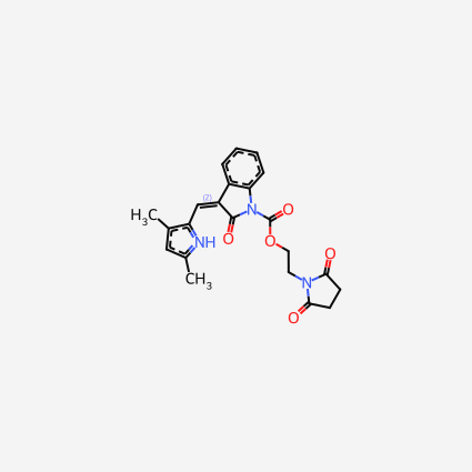 Cc1cc(C)c(/C=C2\C(=O)N(C(=O)OCCN3C(=O)CCC3=O)c3ccccc32)[nH]1